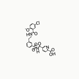 COc1ccc(Cl)cc1C(=O)NCCc1cccc(S(=O)(=O)NC(=O)c2ccc(C(=O)O)nc2)c1